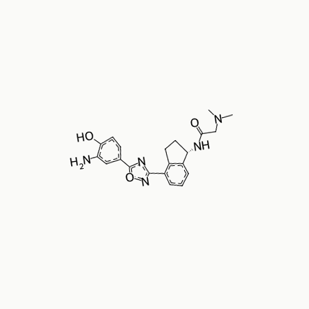 CN(C)CC(=O)N[C@H]1CCc2c(-c3noc(-c4ccc(O)c(N)c4)n3)cccc21